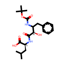 CC(C)C[C@H](NC(=O)[C@H](O)C(Cc1ccccc1)NC(=O)OC(C)(C)C)C(=O)O